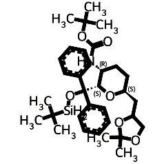 CC(C)(C)OC(=O)N[C@@H]1CC[C@@H](CC2COC(C)(C)O2)O[C@@H]1C(O[SiH2]C(C)(C)C)(c1ccccc1)c1ccccc1